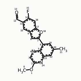 COc1cnc2c(-c3cc4cc(C=O)c(F)cc4o3)cc(C)cc2n1